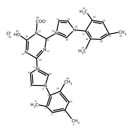 Cc1cc(C)c(-n2cc[n+](C3=NC([n+]4ccn(-c5c(C)cc(C)cc5C)c4)N(C(=O)[O-])C(O)=N3)c2)c(C)c1.[Cl-]